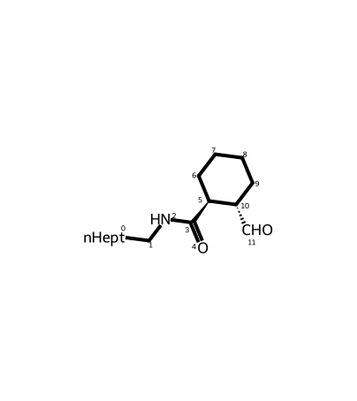 CCCCCCCCNC(=O)[C@H]1CCCC[C@@H]1C=O